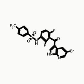 O=C(c1c(F)ccc(NS(=O)(=O)c2ccc(C(F)(F)F)cc2)c1F)c1c[nH]c2ncc(Br)cc12